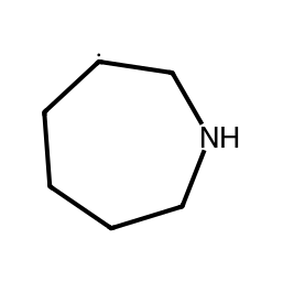 [CH]1CCCCNC1